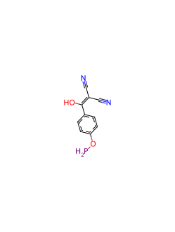 N#CC(C#N)=C(O)c1ccc(OP)cc1